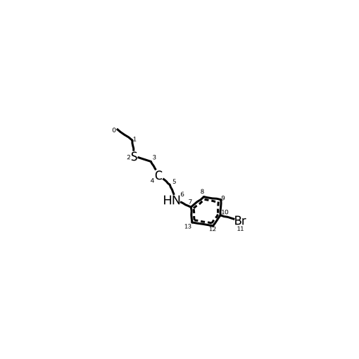 CCSCCCNc1ccc(Br)cc1